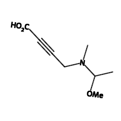 COC(C)N(C)CC#CC(=O)O